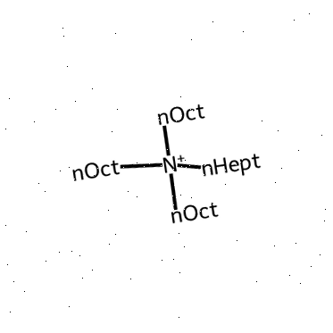 CCCCCCCC[N+](CCCCCCC)(CCCCCCCC)CCCCCCCC